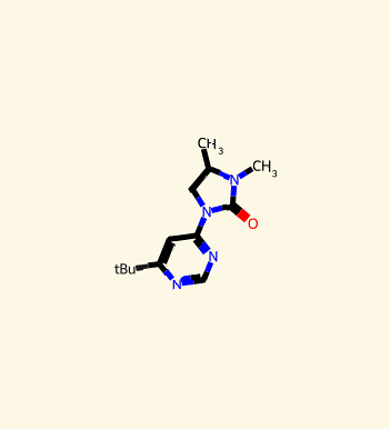 CC1CN(c2cc(C(C)(C)C)ncn2)C(=O)N1C